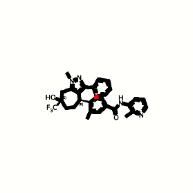 Cc1cc(C(=O)Nc2cccnc2C)ccc1[C@H]1CC[C@@](O)(C(F)(F)F)Cc2c1c(-c1ccccn1)nn2C